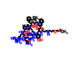 COCCOCCCNCCC(=O)N[C@@H](Cc1ccc(O)cc1)C(=O)C[C@@H](Cc1ccccc1)C(=O)N[C@@H](CC(C)C)C(=O)C[C@@H](Cc1ccccc1)C(=O)N(C)[C@@H](CCCNC(=N)N)C(=O)N1CCC[C@H]1C(=O)N[C@@H](CCCNC(=N)N)C(=O)N[C@@H](CC(N)=O)C(N)=O